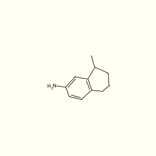 CC1CCCc2ccc(N)cc21